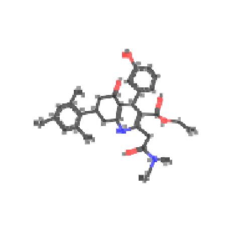 CCOC(=O)C1=C(CC(=O)N(C)C)NC2=C(C(=O)CC(c3c(C)cc(C)cc3C)C2)C1c1cccc(O)c1